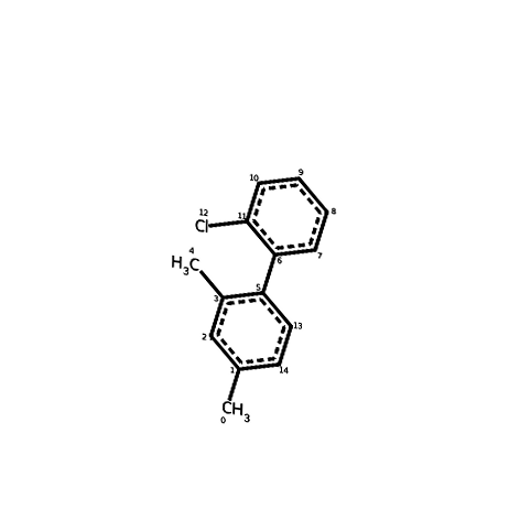 Cc1[c]c(C)c(-c2ccccc2Cl)cc1